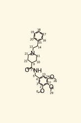 COc1cc(CNC(=O)C2CCN(CCc3ccccc3)CC2)cc(OC)c1OC